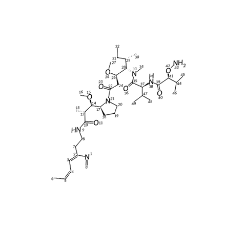 C=N/C(=C\C=C/C)CCNC(=O)[C@H](C)[C@@H](OC)[C@@H]1CCCN1C(=O)C[C@@H](OC)[C@H]([C@@H](C)CC)N(C)C(=O)[C@@H](NC(=O)[C@@H](ON)C(C)C)C(C)C